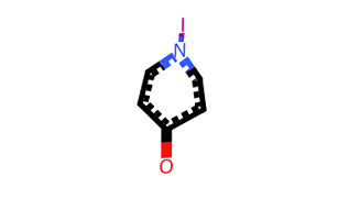 O=c1ccn(I)cc1